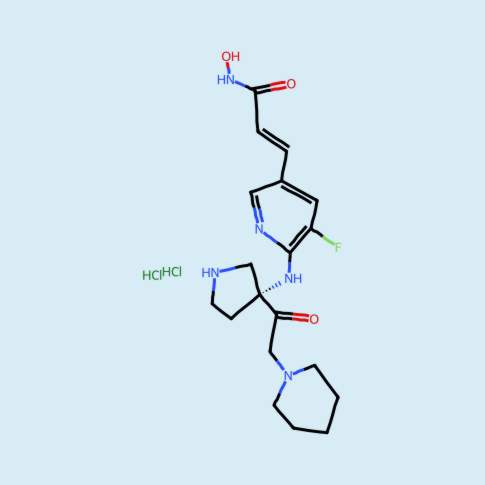 Cl.Cl.O=C(/C=C/c1cnc(N[C@]2(C(=O)CN3CCCCC3)CCNC2)c(F)c1)NO